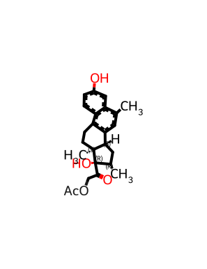 CC(=O)OCC(=O)[C@@]1(O)[C@H](C)C[C@H]2c3cc(C)c4cc(O)ccc4c3CC[C@@]21C